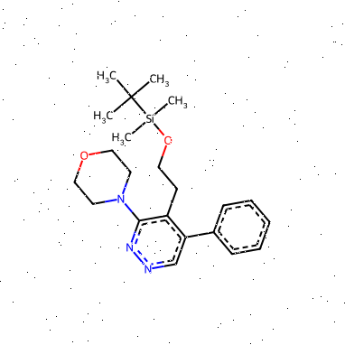 CC(C)(C)[Si](C)(C)OCCc1c(-c2ccccc2)cnnc1N1CCOCC1